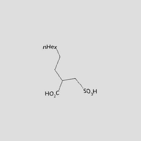 CCCCCCCCC(CS(=O)(=O)O)C(=O)O